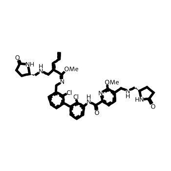 C=C/C=C(CNC[C@@H]1CCC(=O)N1)\C(=N/Cc1cccc(-c2cccc(NC(=O)c3ccc(CNC[C@@H]4CCC(=O)N4)c(OC)n3)c2Cl)c1Cl)OC